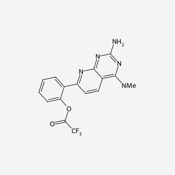 CNc1nc(N)nc2nc(-c3ccccc3OC(=O)C(F)(F)F)ccc12